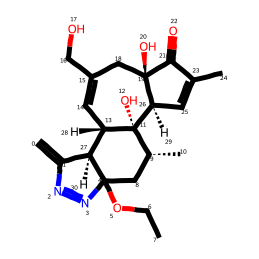 C=C1N=NC2(OCC)C[C@@H](C)[C@@]3(O)[C@@H](C=C(CO)C[C@]4(O)C(=O)C(C)=C[C@@H]34)[C@H]12